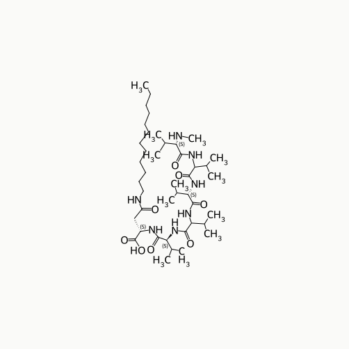 CCCCCCCCCCCCNC(=O)C[C@H](NC(=O)[C@@H](NC(=O)C(NC(=O)[C@@H](NC(=O)C(NC(=O)[C@@H](NC)C(C)C)C(C)C)C(C)C)C(C)C)C(C)C)C(=O)O